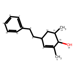 CC1=CC(CCc2ccccc2)CC(C)C1O